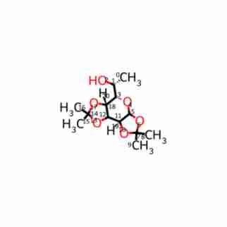 C[C@@H](O)[C@@H]1OC2OC(C)(C)O[C@H]2C2OC(C)(C)O[C@@H]21